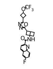 O=C(NC12CCC1C(c1nnc(C3CC(OC(F)(F)F)C3)o1)C2)c1ccc2cc(F)ccc2n1